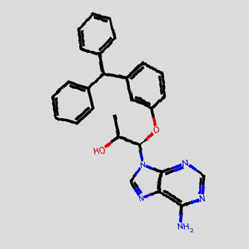 CC(O)[C@@H](Oc1cccc(C(c2ccccc2)c2ccccc2)c1)n1cnc2c(N)ncnc21